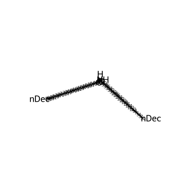 CCCCCCCCCCCCCCCCCCCCCCCCCCCCCCCCCCCCCCCCCCCCCCCCCCCO[PH](=N)OCCCCCCCCCCCCCCCCCCCCCCCCCCCCCCCCCCCCCCCCCCCCCCCCCC